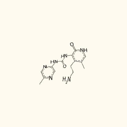 Cc1cnc(NC(=O)Nc2c(CCN)c(C)c[nH]c2=O)cn1